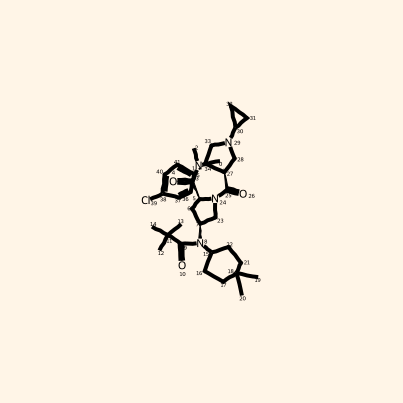 CN(C)C(=O)[C@@H]1C[C@H](N(C(=O)C(C)(C)C)C2CCC(C)(C)CC2)CN1C(=O)[C@@H]1CN(C2CC2)C[C@H]1c1ccc(Cl)cc1